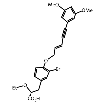 CCO[C@@H](Cc1ccc(OCC=CC#Cc2cc(OC)cc(OC)c2)c(Br)c1)C(=O)O